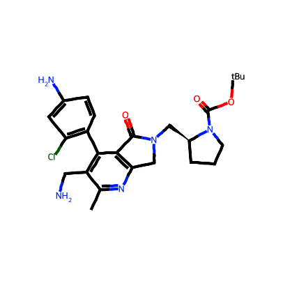 Cc1nc2c(c(-c3ccc(N)cc3Cl)c1CN)C(=O)N(C[C@@H]1CCCN1C(=O)OC(C)(C)C)C2